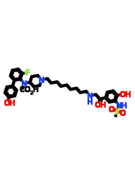 CS(=O)(=O)Nc1cc([C@H](O)CNCCCCCCCCCN2CCC(N(C(=O)O)c3c(F)cccc3-c3ccc(O)cc3)CC2)ccc1O